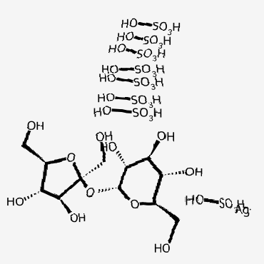 O=S(=O)(O)O.O=S(=O)(O)O.O=S(=O)(O)O.O=S(=O)(O)O.O=S(=O)(O)O.O=S(=O)(O)O.O=S(=O)(O)O.O=S(=O)(O)O.OC[C@H]1O[C@@](CO)(O[C@H]2O[C@H](CO)[C@@H](O)[C@H](O)[C@H]2O)[C@@H](O)[C@@H]1O.[Ag]